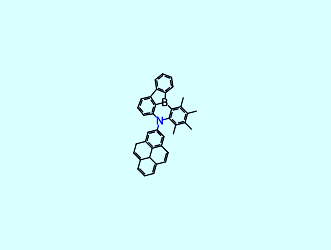 Cc1c(C)c(C)c2c(c1C)B1c3ccccc3-c3cccc(c31)N2c1cc2c3c(c1)CC=C1C=CC=C(C=C2)C13